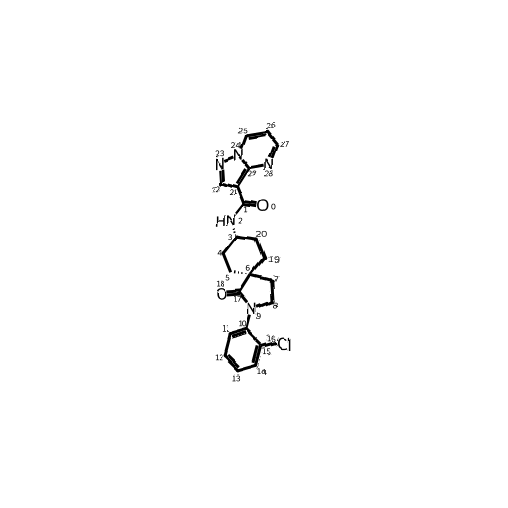 O=C(N[C@H]1CC[C@@]2(CCN(c3ccccc3Cl)C2=O)CC1)c1cnn2cccnc12